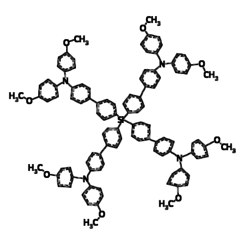 COc1ccc(N(c2ccc(OC)cc2)c2ccc(-c3ccc([Si](c4ccc(-c5ccc(N(c6ccc(OC)cc6)c6ccc(OC)cc6)cc5)cc4)(c4ccc(-c5ccc(N(c6ccc(OC)cc6)c6ccc(OC)cc6)cc5)cc4)c4ccc(-c5ccc(N(c6ccc(OC)cc6)c6ccc(OC)cc6)cc5)cc4)cc3)cc2)cc1